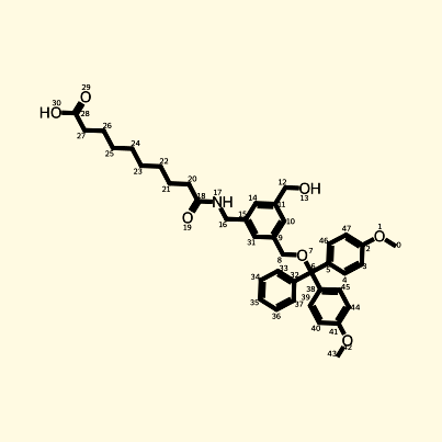 COc1ccc(C(OCc2cc(CO)cc(CNC(=O)CCCCCCCCC(=O)O)c2)(c2ccccc2)c2ccc(OC)cc2)cc1